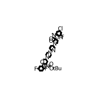 CN(C(=O)[C@@]1(O)CCN(c2ccc(N3CCN(C4CO[C@H](c5cc(F)ccc5F)[C@@H](NC(=O)OC(C)(C)C)C4)CC3)nc2)C1=O)c1cc(F)cc(Cl)c1